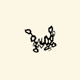 c1ccc(-c2ccc(-c3nc(-c4ccccc4)nc(-c4ccc5c(c4)C4(c6ccccc6Sc6ccccc64)c4ccc6oc7ccccc7c6c4-5)n3)cc2)cc1